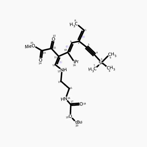 C\C=C(C#C[Si](C)(C)C)/C=C(/C(=C\NCCNC(=O)OC(C)(C)C)C(=O)C(=O)OC)C(C)C